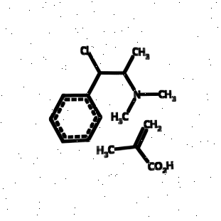 C=C(C)C(=O)O.CC(C(Cl)c1ccccc1)N(C)C